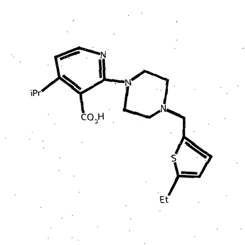 CCc1ccc(CN2CCN(c3nccc(C(C)C)c3C(=O)O)CC2)s1